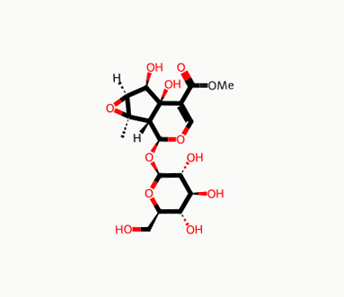 COC(=O)C1=CO[C@@H](O[C@@H]2O[C@H](CO)[C@@H](O)[C@H](O)[C@H]2O)[C@@H]2[C@@]3(C)O[C@H]3[C@@H](O)[C@]12O